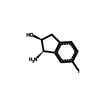 N[C@H]1c2cc(I)ccc2C[C@@H]1O